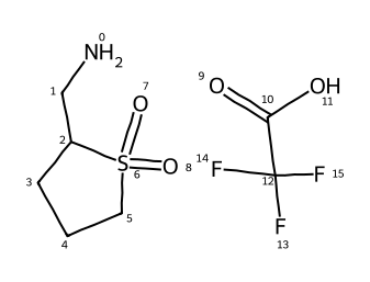 NCC1CCCS1(=O)=O.O=C(O)C(F)(F)F